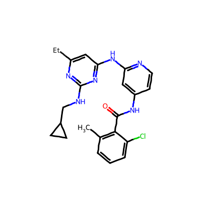 CCc1cc(Nc2cc(NC(=O)c3c(C)cccc3Cl)ccn2)nc(NCC2CC2)n1